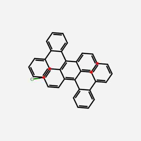 Clc1ccc2c(-c3ccccc3-c3ccccc3)c3ccccc3c(-c3ccccc3-c3ccccc3)c2c1